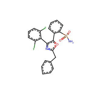 NS(=O)(=O)c1ccccc1-c1oc(Cc2ccccc2)nc1-c1c(F)cccc1F